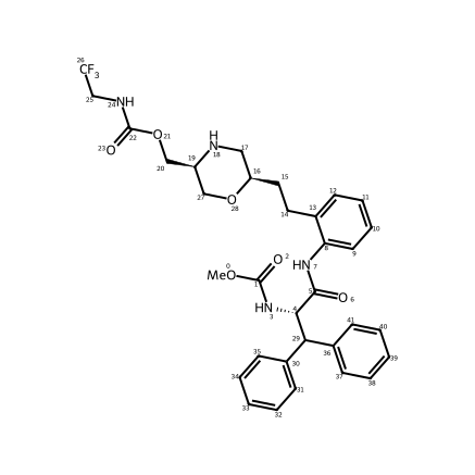 COC(=O)N[C@H](C(=O)Nc1ccccc1CC[C@@H]1CN[C@H](COC(=O)NCC(F)(F)F)CO1)C(c1ccccc1)c1ccccc1